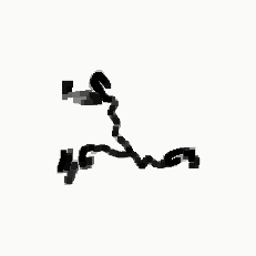 C=CCCC(CCC)CCCCCC